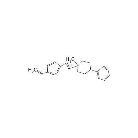 C=Cc1ccc(/C=C/C2(C)CCC(c3ccccc3)CC2)cc1